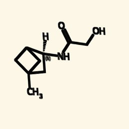 CC12CC(C1)[C@@H](NC(=O)CO)C2